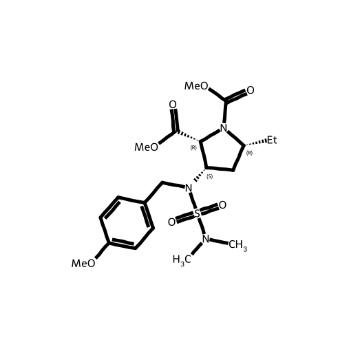 CC[C@@H]1C[C@H](N(Cc2ccc(OC)cc2)S(=O)(=O)N(C)C)[C@H](C(=O)OC)N1C(=O)OC